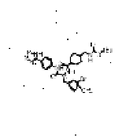 Cc1ccc(C[C@H](NC(=O)C2CCC(CNC(=O)OC(C)(C)C)CC2)C(=O)Nc2ccc(-c3nnn[nH]3)cc2)cc1Br